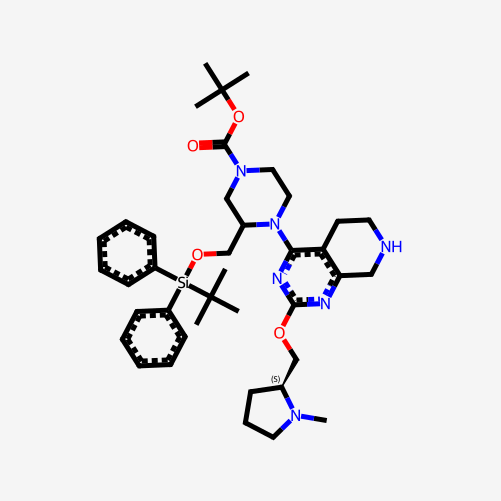 CN1CCC[C@H]1COc1nc2c(c(N3CCN(C(=O)OC(C)(C)C)CC3CO[Si](c3ccccc3)(c3ccccc3)C(C)(C)C)n1)CCNC2